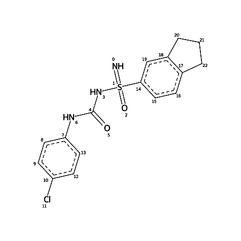 N=S(=O)(NC(=O)Nc1ccc(Cl)cc1)c1ccc2c(c1)CCC2